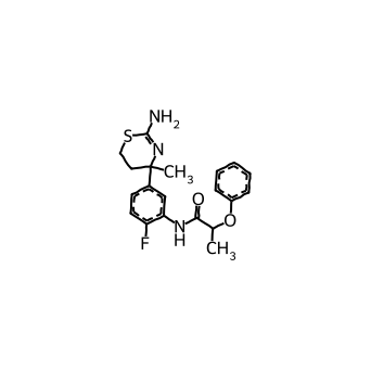 CC(Oc1ccccc1)C(=O)Nc1cc(C2(C)CCSC(N)=N2)ccc1F